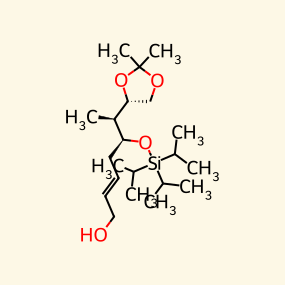 CC(C)[Si](O[C@@H](C/C=C/CO)[C@@H](C)[C@H]1COC(C)(C)O1)(C(C)C)C(C)C